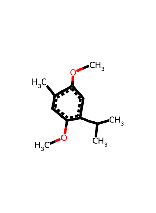 COc1cc(C(C)C)c(OC)cc1C